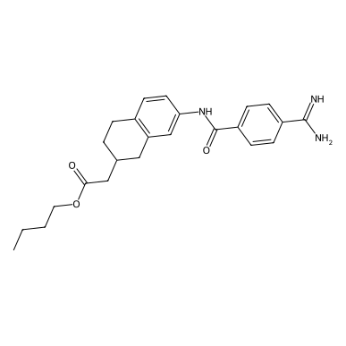 CCCCOC(=O)CC1CCc2ccc(NC(=O)c3ccc(C(=N)N)cc3)cc2C1